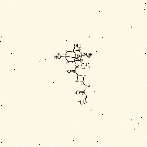 C=CC(=O)OC1CC(C(=O)OC23CC4(O)CC(O)(CC(O)(C4)C2C)C3)C1